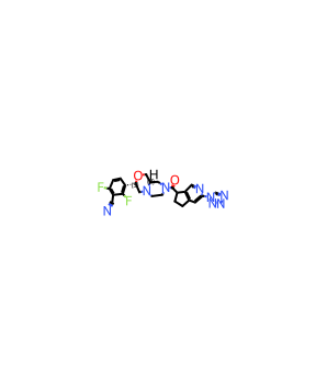 N#Cc1c(F)ccc([C@H]2CN3CCN(C(=O)C4CCc5cc(-n6cnnn6)ncc54)C[C@@H]3CO2)c1F